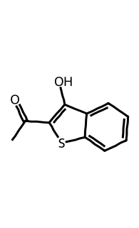 CC(=O)c1sc2ccccc2c1O